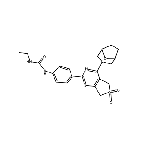 CCNC(=O)Nc1ccc(-c2nc3c(c(N4CC5CCC(C4)O5)n2)CS(=O)(=O)C3)cc1